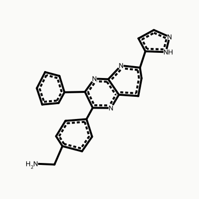 NCc1ccc(-c2nc3ccc(-c4ccn[nH]4)nc3nc2-c2ccccc2)cc1